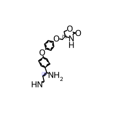 N=C/C=C(\N)c1ccc(Oc2ccc(OC[C@H]3COC(=O)N3)cc2)cc1